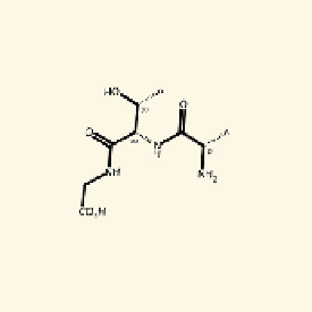 C[C@H](N)C(=O)N[C@H](C(=O)NCC(=O)O)[C@@H](C)O